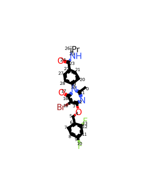 Cc1nc(OCc2ccc(F)cc2F)c(Br)c(=O)n1-c1ccc(C(=O)NC(C)C)cc1